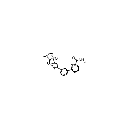 CN1CC[C@](O)(c2cc(-c3cccc(-c4cccc(C(N)=O)n4)c3)no2)C1=O